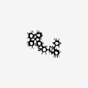 c1ccc(-c2nc(-c3ccc4sc5cc6c(cc5c4c3)-c3ccccc3C6(c3ccccc3)c3ccccc3)nc3ccccc23)cc1